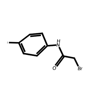 [CH]c1ccc(NC(=O)CBr)cc1